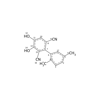 Cc1ccc(C)c(-c2c(C#N)cc(O)c(O)c2C#N)c1